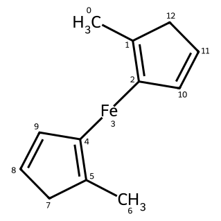 CC1=[C]([Fe][C]2=C(C)CC=C2)C=CC1